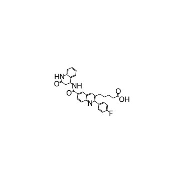 O=C(O)CCCCc1cc2cc(C(=O)NC3CC(=O)Nc4ccccc43)ccc2nc1-c1ccc(F)cc1